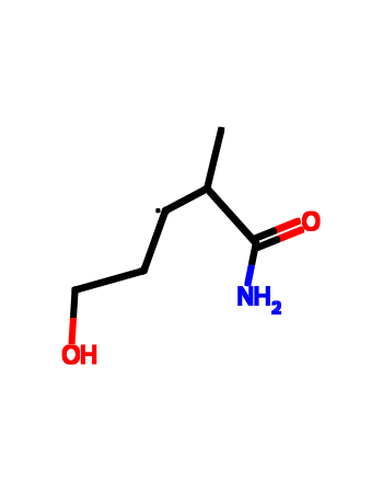 CC([CH]CCO)C(N)=O